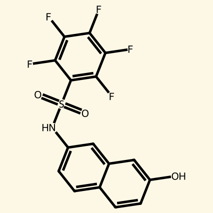 O=S(=O)(Nc1ccc2ccc(O)cc2c1)c1c(F)c(F)c(F)c(F)c1F